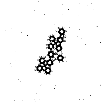 c1ccc(N(c2ccc3c(c2)C(c2ccccc2)(c2ccccc2)c2cc4c(cc2-3)oc2ccccc24)c2cccc3c2oc2ccc(C4(c5ccccc5)c5ccccc5-c5ccccc54)cc23)cc1